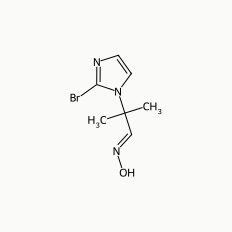 CC(C)(C=NO)n1ccnc1Br